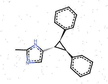 Cc1ncc([C@H]2[C@H](c3ccccc3)[C@@H]2c2ccccc2)[nH]1